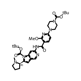 COc1nc(N2CCN(C(=O)OC(C)(C)C)CC2)ccc1C(=O)Nc1cc2c(cn1)cc([C@H]1CCCN1C)n2C(=O)OC(C)(C)C